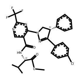 COC(=O)[C@@H](NC(=O)c1cnc(C(F)(F)F)nc1N1C[C@H](c2ccccc2)C(c2ccc(Cl)cc2)=N1)C(C)C